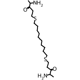 CC(N)C(=O)CCSCCCCCCCCCCSCCC(=O)C(C)N